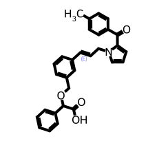 Cc1ccc(C(=O)c2cccn2C/C=C/c2cccc(COC(C(=O)O)c3ccccc3)c2)cc1